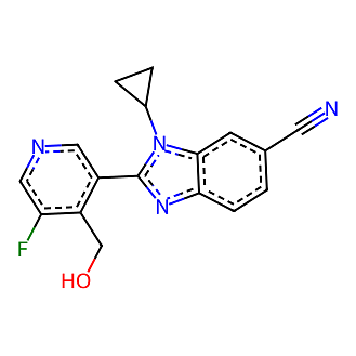 N#Cc1ccc2nc(-c3cncc(F)c3CO)n(C3CC3)c2c1